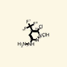 Cl.NNc1cc(C(F)(F)F)c(Cl)nn1